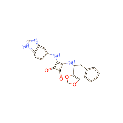 O=c1c(Nc2ccc3[nH]cnc3c2)c(NC(Cc2ccccc2)C2=COCO2)c1=O